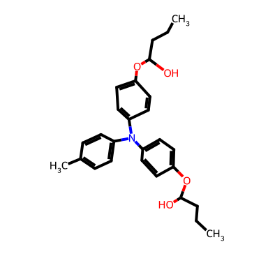 CCCC(O)Oc1ccc(N(c2ccc(C)cc2)c2ccc(OC(O)CCC)cc2)cc1